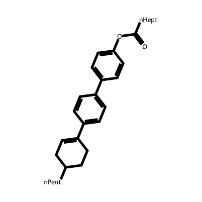 CCCCCCCC(=O)Oc1ccc(-c2ccc(C3=CCC(CCCCC)CC3)cc2)cc1